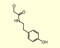 [O]CC(=O)NCCc1ccc(O)cc1